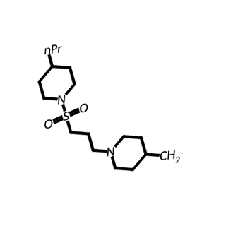 [CH2]C1CCN(CCCS(=O)(=O)N2CCC(CCC)CC2)CC1